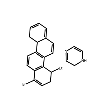 C1=CNCC=N1.CCC1CC=C(Br)c2ccc3c(c21)C=CC1=CC=CCC13